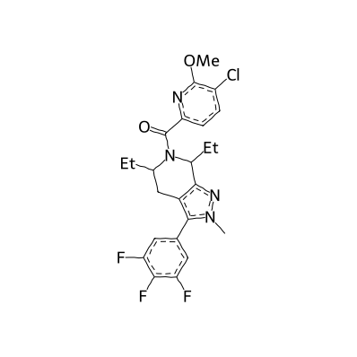 CCC1Cc2c(nn(C)c2-c2cc(F)c(F)c(F)c2)C(CC)N1C(=O)c1ccc(Cl)c(OC)n1